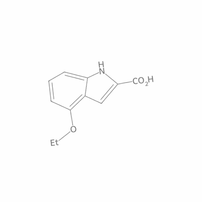 CCOc1cccc2[nH]c(C(=O)O)cc12